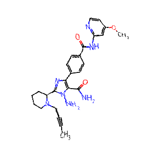 CC#CCN1CCCC[C@H]1c1nc(-c2ccc(C(=O)Nc3cc(OC)ccn3)cc2)c(C(N)=O)n1N